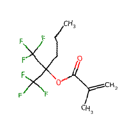 C=C(C)C(=O)OC(CCC)(C(F)(F)F)C(F)(F)F